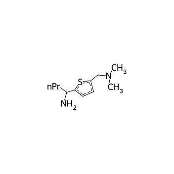 CCCC(N)c1ccc(CN(C)C)s1